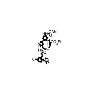 CCOC(=O)[C@H]1CCCCC(NC(=O)/C=C/c2cc(Cl)ccc2-n2cnnn2)c2cc(cnn2)-c2ccc(NC(=O)OC)cc2N1